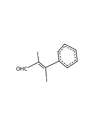 O=CC(I)=C(I)c1ccccc1